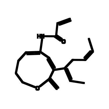 C=CC(=O)NC1=C/CCCOC(=C)C(/C(=C/C)C/C=C\C)=C\1